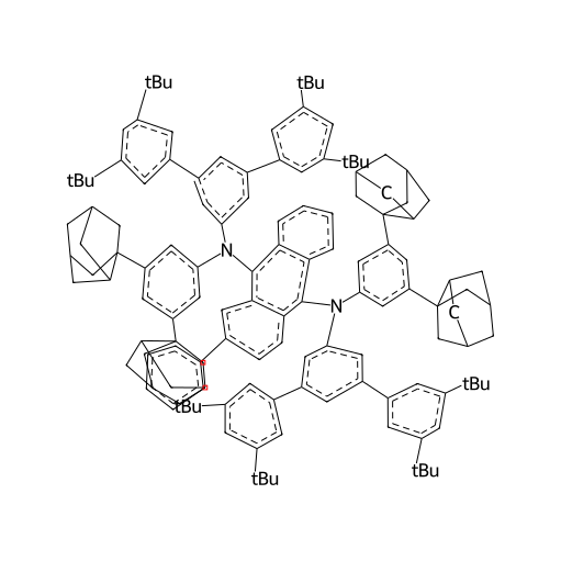 CC(C)(C)c1cc(-c2cc(-c3cc(C(C)(C)C)cc(C(C)(C)C)c3)cc(N(c3cc(C45CC6CC(CC4C6)C5)cc(C45CC6CC(CC4C6)C5)c3)c3c4ccccc4c(N(c4cc(-c5cc(C(C)(C)C)cc(C(C)(C)C)c5)cc(-c5cc(C(C)(C)C)cc(C(C)(C)C)c5)c4)c4cc(C56CC7CC(CC5C7)C6)cc(C56CC7CC(CC5C7)C6)c4)c4cc(-c5ccccc5)ccc34)c2)cc(C(C)(C)C)c1